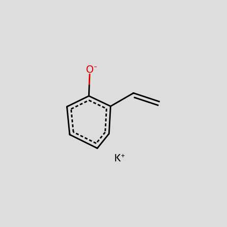 C=Cc1ccccc1[O-].[K+]